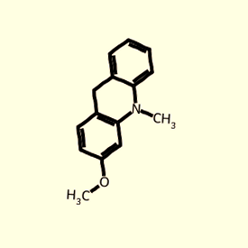 COc1ccc2c(c1)N(C)c1ccccc1C2